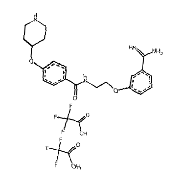 N=C(N)c1cccc(OCCNC(=O)c2ccc(OC3CCNCC3)cc2)c1.O=C(O)C(F)(F)F.O=C(O)C(F)(F)F